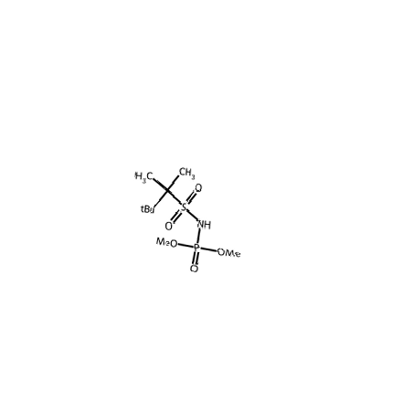 COP(=O)(NS(=O)(=O)C(C)(C)C(C)(C)C)OC